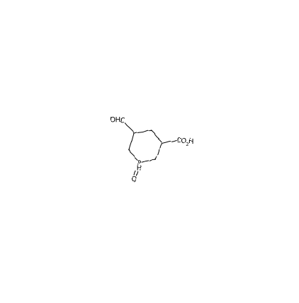 O=CC1CC(C(=O)O)C[PH](=O)C1